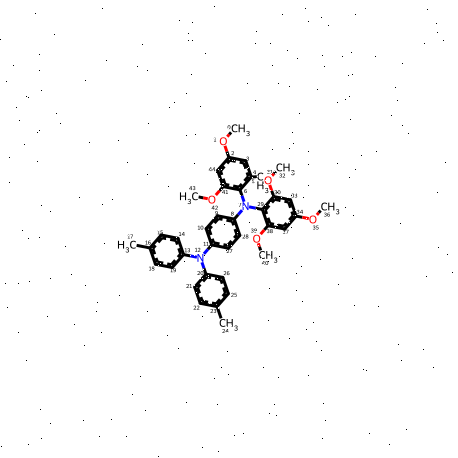 COc1cc(C)c(N(c2ccc(N(c3ccc(C)cc3)c3ccc(C)cc3)cc2)c2c(OC)cc(OC)cc2OC)c(OC)c1